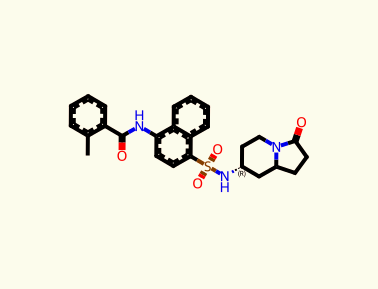 Cc1ccccc1C(=O)Nc1ccc(S(=O)(=O)N[C@@H]2CCN3C(=O)CCC3C2)c2ccccc12